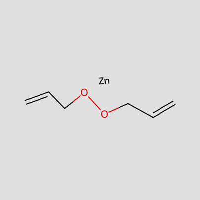 C=CCOOCC=C.[Zn]